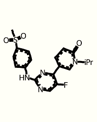 CC(C)n1cc(-c2nc(Nc3ccc(S(C)(=O)=O)cc3)ncc2F)ccc1=O